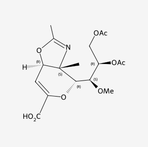 CO[C@H]([C@@H](COC(C)=O)OC(C)=O)[C@@H]1OC(C(=O)O)=C[C@H]2OC(C)=N[C@@]21C